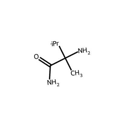 C[C](C)C(C)(N)C(N)=O